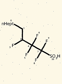 CCCCCCCCC(F)C(F)(F)C(F)(F)S(=O)(=O)O